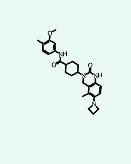 COc1cc(NC(=O)C2CCC(N3Cc4c(ccc(N5CCC5)c4C)NC3=O)CC2)ccc1C